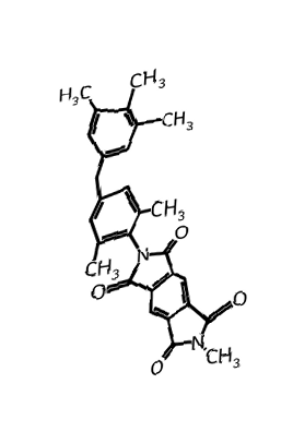 Cc1cc(Cc2cc(C)c(-n3c(=O)c4cc5c(=O)n(C)c(=O)c5cc4c3=O)c(C)c2)cc(C)c1C